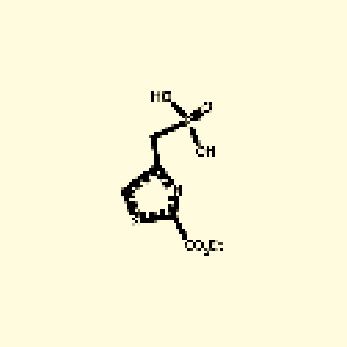 CCOC(=O)c1nc(CP(=O)(O)O)cs1